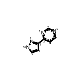 C1=CC(c2ccncn2)=N[N]1